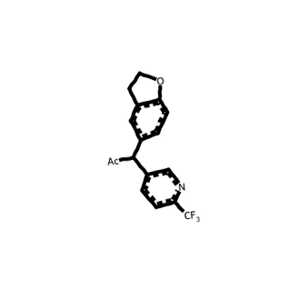 CC(=O)C(c1ccc(C(F)(F)F)nc1)c1ccc2c(c1)CCO2